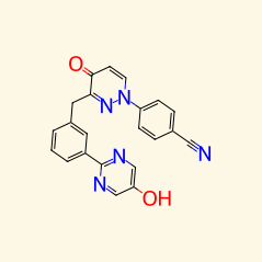 N#Cc1ccc(-n2ccc(=O)c(Cc3cccc(-c4ncc(O)cn4)c3)n2)cc1